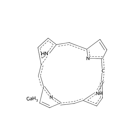 C1=Cc2cc3ccc(cc4nc(cc5ccc(cc1n2)[nH]5)C=C4)[nH]3.[GaH3]